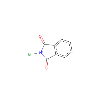 O=C1c2ccccc2C(=O)[N+]1Br